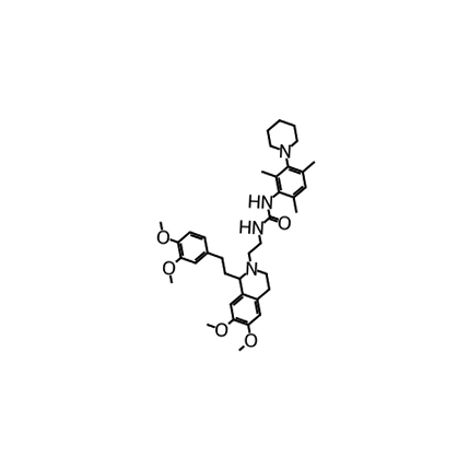 COc1ccc(CCC2c3cc(OC)c(OC)cc3CCN2CCNC(=O)Nc2c(C)cc(C)c(N3CCCCC3)c2C)cc1OC